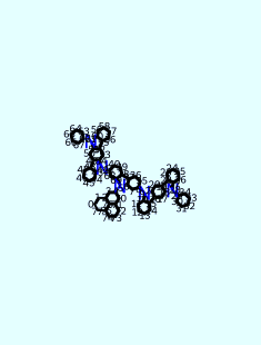 C1=Cc2cc(-n3c4cc(-n5c6ccccc6c6cc7c(cc65)c5ccccc5n7-c5ccccc5)ccc4c4ccc(-n5c6ccccc6c6cc7c(cc65)c5ccccc5n7-c5ccccc5)cc43)cc3cccc(c23)C1